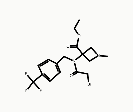 CCOC(=O)C1(N(Cc2ccc(C(F)(F)F)cc2)C(=O)CBr)CN(C)C1